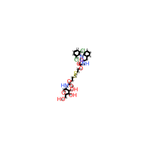 O=C(Cc1ccccc1Nc1c(Cl)cccc1Cl)NC(=O)OCCSSCCOC(=O)NC1COC(CO)C(O)C1O